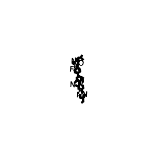 CCc1cnc(N2CCN(c3ncc(-c4ccc(-n5cnn(CC(C)C)c5=O)c(F)c4)cc3C#N)C(C)C2)nc1